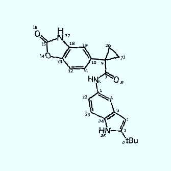 CC(C)(C)c1cc2cc(NC(=O)C3(c4ccc5oc(=O)[nH]c5c4)CC3)ccc2[nH]1